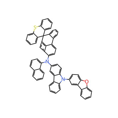 c1ccc2c(c1)Sc1ccccc1C21c2ccccc2-c2ccc(N(c3ccc4c(c3)c3ccccc3n4-c3ccc4oc5ccccc5c4c3)c3cccc4ccccc34)c3cccc1c23